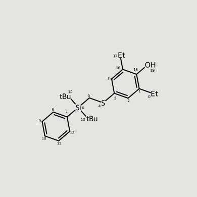 CCc1cc(SC[Si](c2ccccc2)(C(C)(C)C)C(C)(C)C)cc(CC)c1O